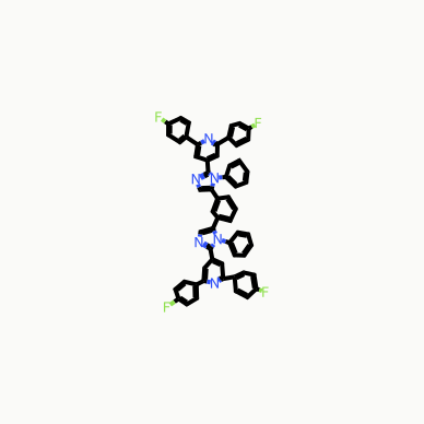 Fc1ccc(-c2cc(-c3ncc(-c4cccc(-c5cnc(-c6cc(-c7ccc(F)cc7)nc(-c7ccc(F)cc7)c6)n5-c5ccccc5)c4)n3-c3ccccc3)cc(-c3ccc(F)cc3)n2)cc1